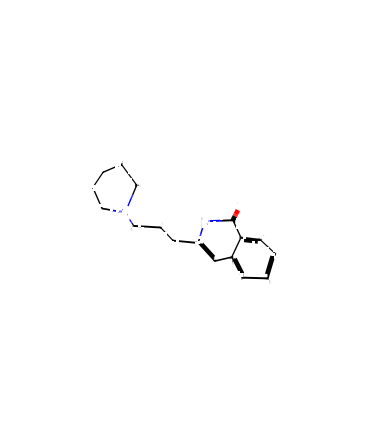 O=c1[nH]c(CCCN2CCCCC2)cc2ccccc12